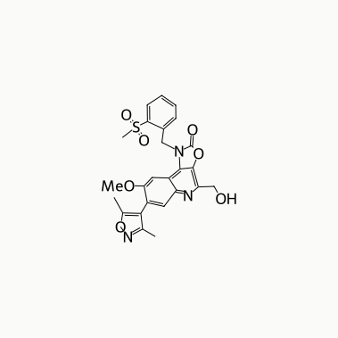 COc1cc2c(cc1-c1c(C)noc1C)nc(CO)c1oc(=O)n(Cc3ccccc3S(C)(=O)=O)c12